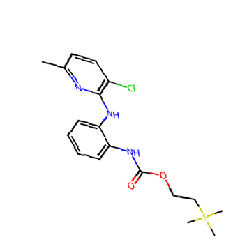 Cc1ccc(Cl)c(Nc2ccccc2NC(=O)OCCS(C)(C)C)n1